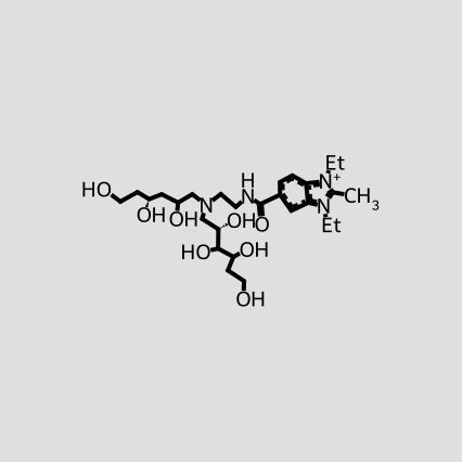 CCn1c(C)[n+](CC)c2ccc(C(=O)NCCN(CC(O)C[C@H](O)CCO)C[C@H](O)C(O)C(O)CCO)cc21